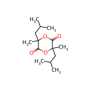 CC(C)CC1(C)OC(=O)C(C)(CC(C)C)OC1=O